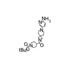 CC(C)(C)OC(=O)N1CCC(C(=O)N2CC3(CCN(c4ccc(N)nc4)CC3)C2)CC1